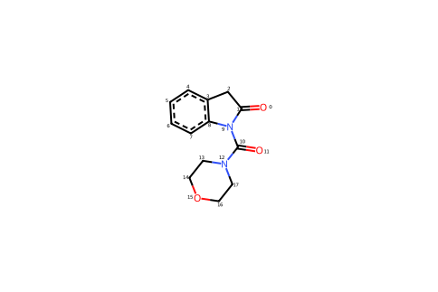 O=C1Cc2ccccc2N1C(=O)N1CCOCC1